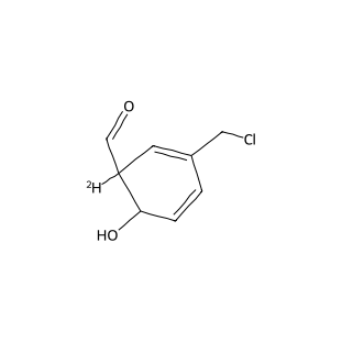 [2H]C1(C=O)C=C(CCl)C=CC1O